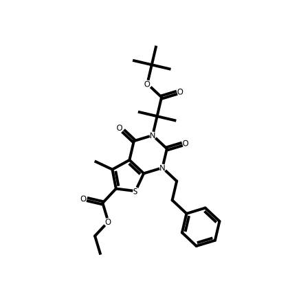 CCOC(=O)c1sc2c(c1C)c(=O)n(C(C)(C)C(=O)OC(C)(C)C)c(=O)n2CCc1ccccc1